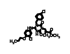 CCCOc1ccc(NC2NC(=O)N(C[C@H](C)C(=O)OC)C(=O)N2Cc2ccc(Cl)cc2)cc1Cl